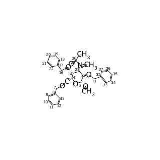 CO[C@@H]1O[C@H](COCc2ccccc2)[C@H](OCc2ccccc2)[C@H](N(C)C(C)=O)[C@H]1OCc1ccccc1